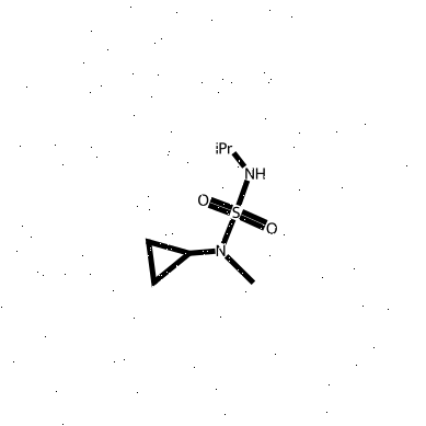 CC(C)NS(=O)(=O)N(C)C1CC1